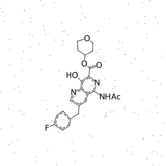 CC(=O)Nc1nc(C(=O)OC2CCOCC2)c(O)c2ncc(Cc3ccc(F)cc3)cc12